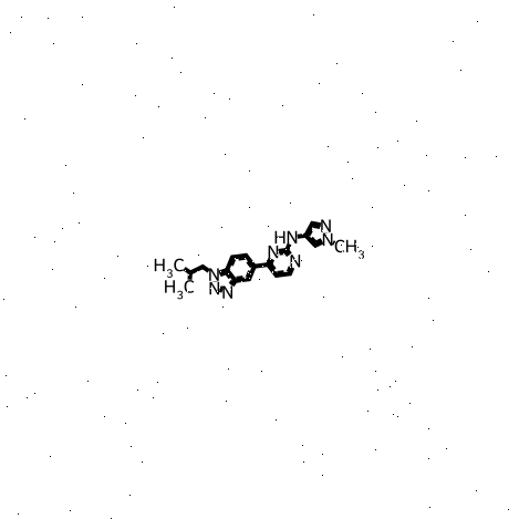 CC(C)Cn1nnc2cc(-c3ccnc(Nc4cnn(C)c4)n3)ccc21